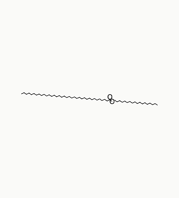 CCCCCCCCCCCCCCCCCCCCCCCCCCCCCCCCCCCC(=O)OCCCCCCCCCCCCCCCCCC